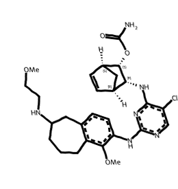 COCCNC1CCCc2c(ccc(Nc3ncc(Cl)c(N[C@H]4[C@@H](OC(N)=O)[C@@H]5C=C[C@H]4C5)n3)c2OC)C1